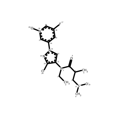 CCN(C(=O)C(C)C[S+](C)[O-])c1cn(-c2cc(F)c[n+]([O-])c2)nc1Cl